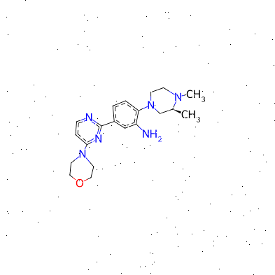 C[C@H]1CN(c2ccc(-c3nccc(N4CCOCC4)n3)cc2N)CCN1C